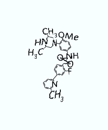 COc1ccc(NS(=O)(=O)c2ccc(-c3cccc(C)n3)cc2F)cc1N1CC(C)NC(C)C1